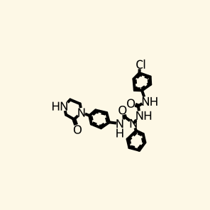 O=C(Nc1ccc(Cl)cc1)NN(C(=O)Nc1ccc(N2CCNCC2=O)cc1)c1ccccc1